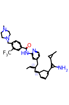 C/C=C(\C=C1\C=CC=C(C2=C(C3CC3C)C2N)C1)Cc1ccnc(NC(=O)c2ccc(CN3CCN(C)CC3)c(C(F)(F)F)c2)c1